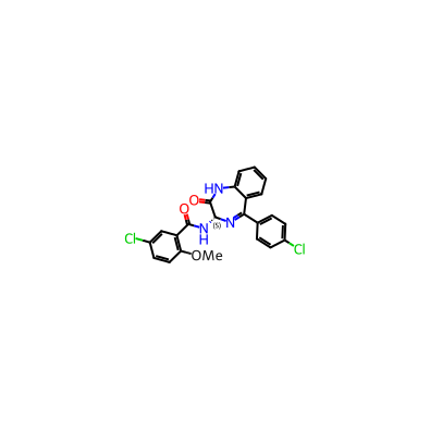 COc1ccc(Cl)cc1C(=O)N[C@H]1N=C(c2ccc(Cl)cc2)c2ccccc2NC1=O